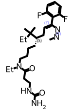 CCN(CCCC[C@@H](C/C=C(\N=N/C)c1c(F)cccc1F)C(C)(C)CC)C(=O)CCNC(N)=O